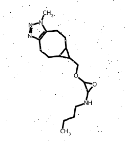 CCCCNC1OC1OCC1C2CCc3nnn(C)c3CCC21